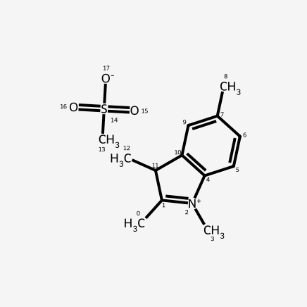 CC1=[N+](C)c2ccc(C)cc2C1C.CS(=O)(=O)[O-]